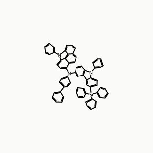 c1ccc(-c2ccc(N(c3ccc4c(c3)c3cc([Si](c5ccccc5)(c5ccccc5)c5ccccc5)ccc3n4-c3ccccc3)c3ccc4c5c3ccc3cccc(c35)n4-c3ccccc3)cc2)cc1